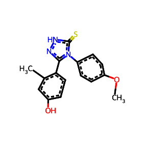 COc1ccc(-n2c(-c3ccc(O)cc3C)n[nH]c2=S)cc1